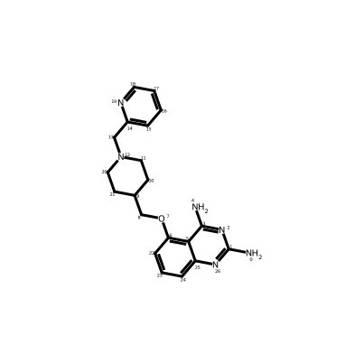 Nc1nc(N)c2c(OCC3CCN(Cc4ccccn4)CC3)cccc2n1